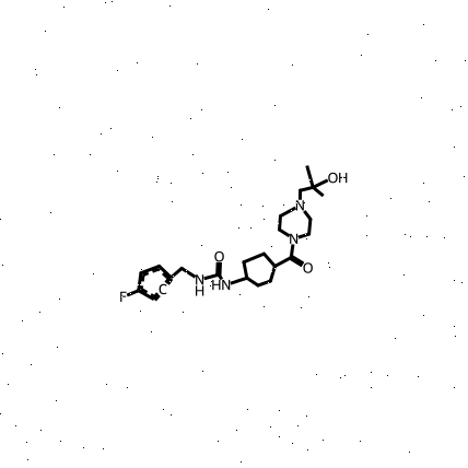 CC(C)(O)CN1CCN(C(=O)C2CCC(NC(=O)NCc3ccc(F)cc3)CC2)CC1